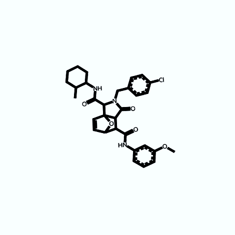 COc1cccc(NC(=O)C2C3C=CC4(O3)C2C(=O)N(Cc2ccc(Cl)cc2)C4C(=O)NC2CCCCC2C)c1